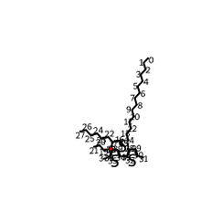 CCCCCCCCCCCCCCC[Si]1(CC(CCCC)CCCCCC)c2cc(C)sc2-c2sc(C)cc21